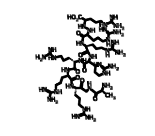 C[C@H](N)C(=O)NCC(=O)[C@H](CCCNC(=N)N)NC(=O)C(CCCNC(=N)N)NC(=O)[C@H](CCCNC(=N)N)NC(=O)C(CCCNC(=N)N)NC(=O)[C@H](CCCNC(=N)N)NC(=O)C(CCCNC(=N)N)NNC(CCCNC(=N)N)C(=O)O